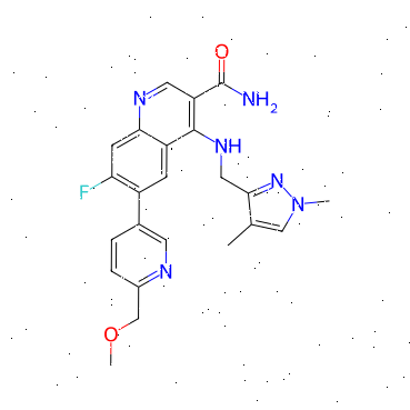 COCc1ccc(-c2cc3c(NCc4nn(C)cc4C)c(C(N)=O)cnc3cc2F)cn1